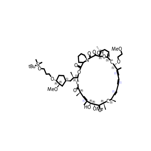 COCCO[C@H]1C[C@@H]2CC[C@@H](C)[C@@](O)(O2)C(=O)C(=O)N2CCCCC2C(=O)O[C@H]([C@H](C)C[C@@H]2CC[C@@H](OCCCO[Si](C)(C)C(C)(C)C)[C@H](OC)C2)CC(=O)[C@H](C)/C=C(\C)[C@@H](O)[C@@H](OC)C(=O)[C@H](C)C[C@H](C)/C=C/C=C/C=C/1C